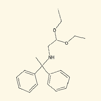 CCOC(CNC(C)(c1ccccc1)c1ccccc1)OCC